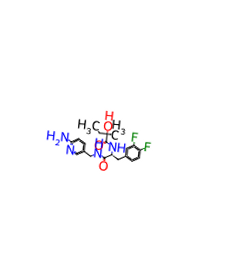 CC[C@](C)(O)C(=O)N[C@@H](Cc1ccc(F)c(F)c1)C(=O)NCc1ccc(N)nc1